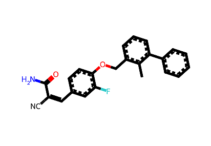 Cc1c(COc2ccc(C=C(C#N)C(N)=O)cc2F)cccc1-c1ccccc1